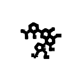 CN1CC[C@H](c2c(O)cc(O)c3c(=O)cc(-c4cccc([N+](=O)[O-])c4Cl)oc23)[C@H]1CO